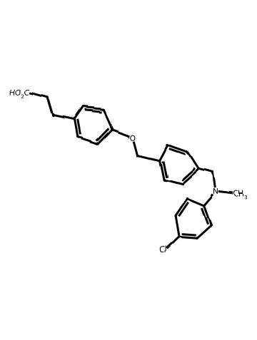 CN(Cc1ccc(COc2ccc(CCC(=O)O)cc2)cc1)c1ccc(Cl)cc1